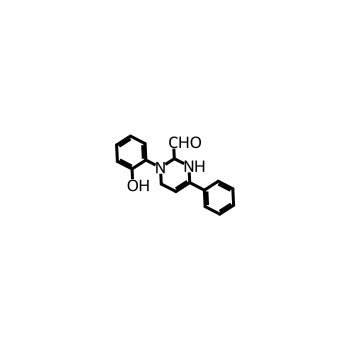 O=CC1NC(c2ccccc2)=CCN1c1ccccc1O